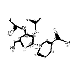 CC(=O)O[C@@H]1[C@H](OC(C)=O)C(CO)O[C@H]1N1C=CCC(C(=O)O)=C1